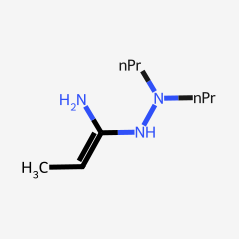 CC=C(N)NN(CCC)CCC